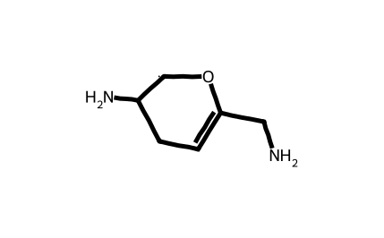 NCC1=CCC(N)[CH]O1